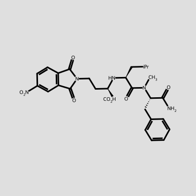 CC(C)C[C@H](N[C@H](CCN1C(=O)c2ccc([N+](=O)[O-])cc2C1=O)C(=O)O)C(=O)N(C)[C@@H](Cc1ccccc1)C(N)=O